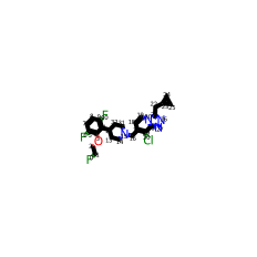 FCCOc1c(F)ccc(F)c1C1CCN(Cc2ccn3c(CC4CC4)nnc3c2Cl)CC1